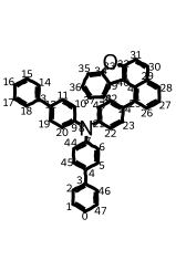 c1ccc(-c2ccc(N(c3ccc(-c4ccccc4)cc3)c3ccc(-c4cccc5ccc6oc7ccccc7c6c45)cc3)cc2)cc1